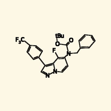 CC(C)(C)OC(=O)N(Cc1ccccc1)c1ccn2ncc(-c3ccc(C(F)(F)F)cc3)c2c1F